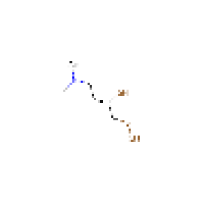 CC(=O)N(C)CCC(S)CSS